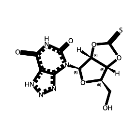 O=c1[nH]c(=O)n([C@@H]2O[C@H](CO)[C@H]3OC(=S)O[C@H]32)c2nn[nH]c12